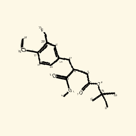 COC(=O)C(CC(=O)OC(C)(C)C)Cc1ccc(OC)c(F)c1